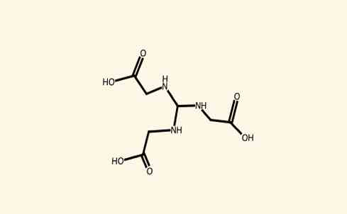 O=C(O)CNC(NCC(=O)O)NCC(=O)O